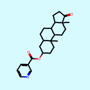 CC12CCC3C(CCC4CC(OC(=O)c5cccnc5)CCC43C)C1CCC2=O